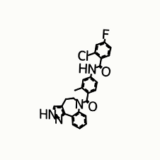 Cc1cc(NC(=O)c2ccc(F)cc2Cl)ccc1C(=O)N1CCc2c[nH]nc2-c2ccccc21